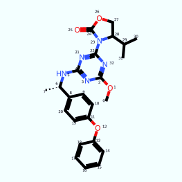 COc1nc(N[C@@H](C)c2ccc(Oc3ccccc3)cc2)nc(N2C(=O)OCC2C(C)C)n1